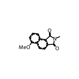 COc1cccc2c3c(ccc12)C(=O)N(C)C3=O